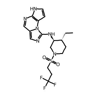 CC[C@@H]1CCN(S(=O)(=O)CCC(F)(F)F)C[C@H]1Nc1ncc2cnc3[nH]ccc3n12